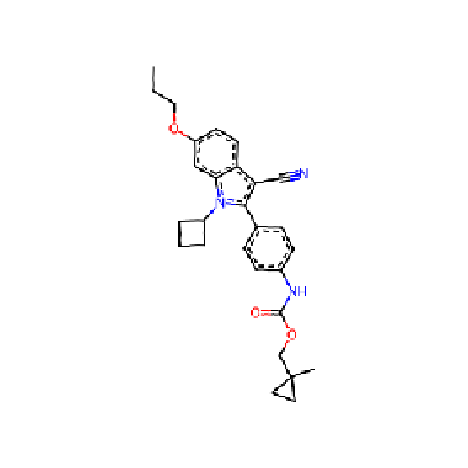 CCCOc1ccc2c(C#N)c(-c3ccc(NC(=O)OCC4(C)CC4)cc3)n(C3CCC3)c2c1